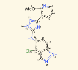 COc1ncccc1-c1nc(Nc2ccc3[nH]ncc3c2Cl)n(C)n1